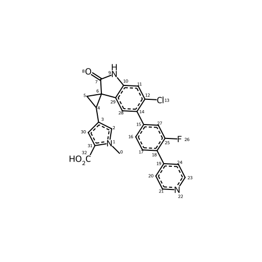 Cn1cc(C2CC23C(=O)Nc2cc(Cl)c(-c4ccc(-c5ccncc5)c(F)c4)cc23)cc1C(=O)O